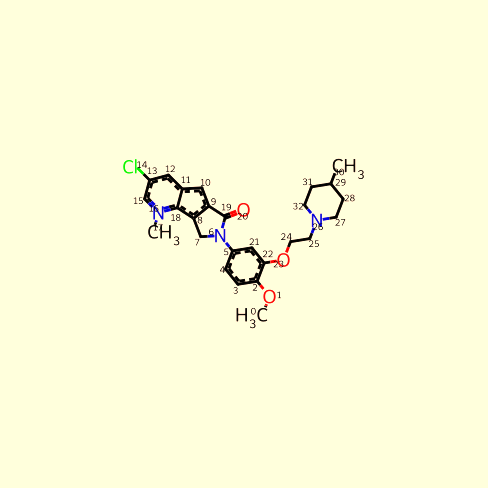 COc1ccc(N2Cc3c(cc4cc(Cl)cn(C)c3-4)C2=O)cc1OCCN1CCC(C)CC1